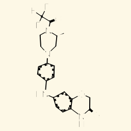 C[C@H]1CN(c2ccc(Nc3ccc4c(c3)OCC(=O)N4)cc2)CCN1C(=O)C(F)(F)F